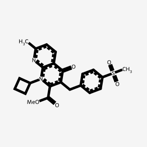 COC(=O)c1c(Cc2ccc(S(C)(=O)=O)cc2)c(=O)c2ccc(C)nc2n1C1CCC1